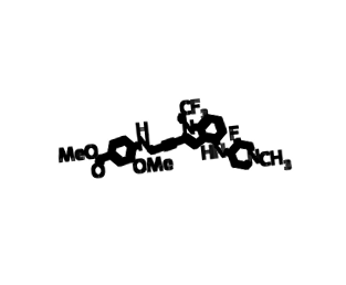 COC(=O)c1ccc(NCC#Cc2cc3c(NC4CCN(C)CC4F)cccc3n2CC(F)(F)F)c(OC)c1